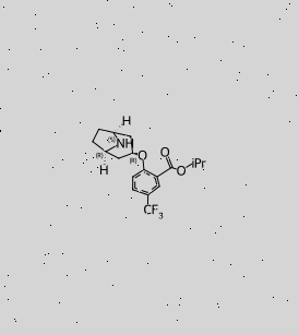 CC(C)OC(=O)c1cc(C(F)(F)F)ccc1O[C@H]1C[C@H]2CC[C@@H](C1)N2